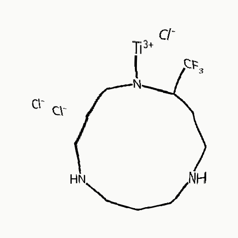 FC(F)(F)C1CCNCCCNCCC[N]1[Ti+3].[Cl-].[Cl-].[Cl-]